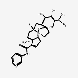 CN(C)[C@H]1C[C@@]23CC[C@]4(O2)C2CC=C(C(=O)Nc5cccnc5)[C@@]2(C)CCC4(F)CC3[C@@H](O)[C@@H]1O